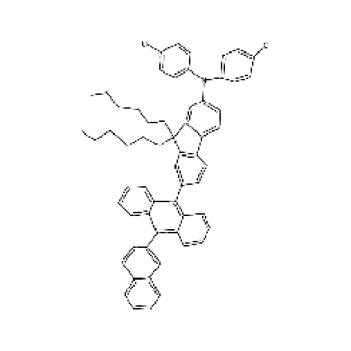 CCCCCCC1(CCCCCC)c2cc(-c3c4ccccc4c(-c4ccc5ccccc5c4)c4ccccc34)ccc2-c2ccc(N(c3ccc(Cl)cc3)c3ccc(Cl)cc3)cc21